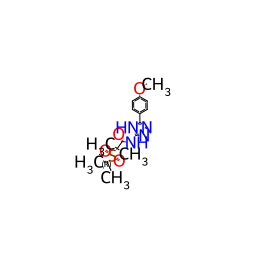 CC[C@@H](C)S(=O)(=O)C(C)(C)C(=O)Nc1nnc(-c2ccc(OC)cc2)[nH]1